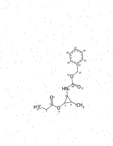 CCC(=O)OC1C(C)C1NC(=O)OCc1ccccc1